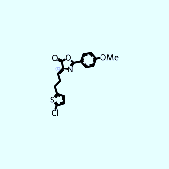 COc1ccc(C2=N/C(=C\CCc3ccc(Cl)s3)C(=O)O2)cc1